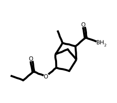 BC(=O)C1C2CC(OC(=O)CC)C(C2)C1C